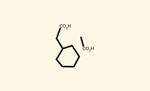 CC(=O)O.O=C(O)CC1CCCCC1